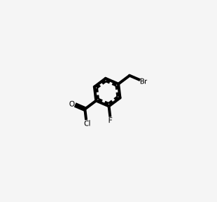 O=C(Cl)c1ccc(CBr)cc1F